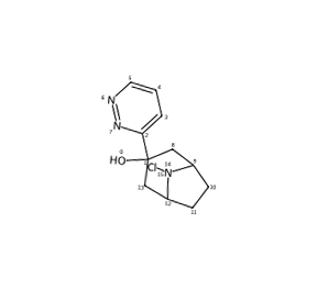 OC1(c2cccnn2)CC2CCC(C1)N2Cl